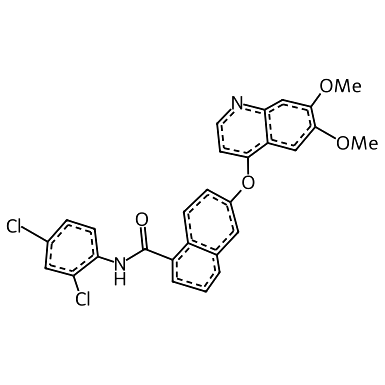 COc1cc2nccc(Oc3ccc4c(C(=O)Nc5ccc(Cl)cc5Cl)cccc4c3)c2cc1OC